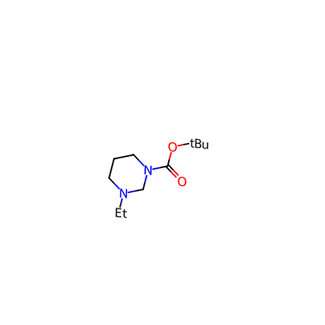 CCN1CCCN(C(=O)OC(C)(C)C)C1